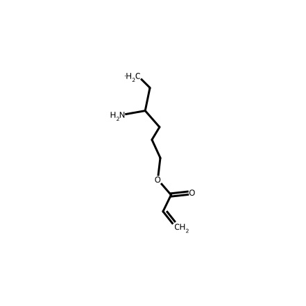 [CH2]CC(N)CCCOC(=O)C=C